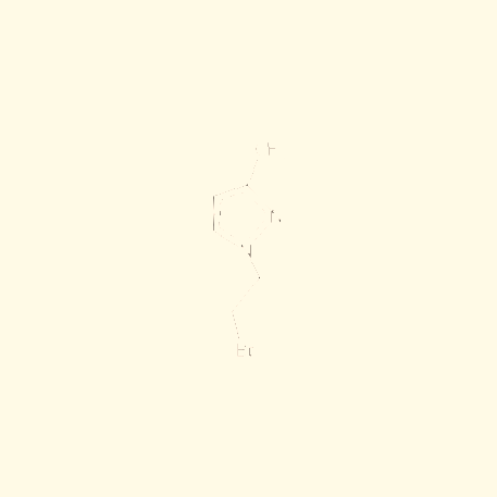 FC(F)(F)c1ccn(CCBr)n1